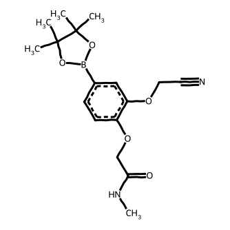 CNC(=O)COc1ccc(B2OC(C)(C)C(C)(C)O2)cc1OCC#N